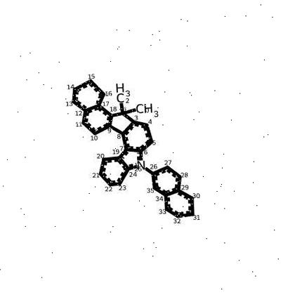 CC1(C)c2ccc3c(c2-c2ccc4ccccc4c21)c1ccccc1n3-c1ccc2ccccc2c1